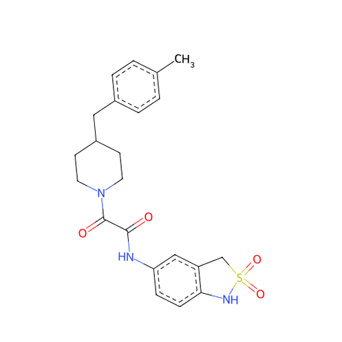 Cc1ccc(CC2CCN(C(=O)C(=O)Nc3ccc4c(c3)CS(=O)(=O)N4)CC2)cc1